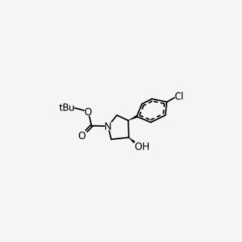 CC(C)(C)OC(=O)N1C[C@H](O)[C@H](c2ccc(Cl)cc2)C1